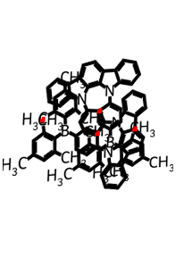 Cc1cc(C)c(B(c2ccc(-n3c4ccccc4c4ccc5c6ccccc6n(-c6cccc(-n7c8ccccc8c8ccc9c%10ccccc%10n(-c%10ccc(B(c%11c(C)cc(C)cc%11C)c%11c(C)cc(C)cc%11C)cc%10)c9c87)c6)c5c43)cc2)c2c(C)cc(C)cc2C)c(C)c1